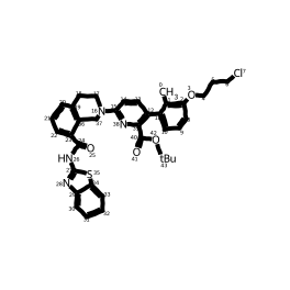 Cc1c(OCCCCl)cccc1-c1ccc(N2CCc3cccc(C(=O)Nc4nc5ccccc5s4)c3C2)nc1C(=O)OC(C)(C)C